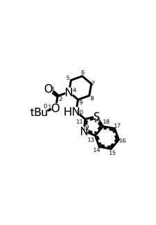 CC(C)(C)OC(=O)N1CCCCC1Nc1nc2ccccc2s1